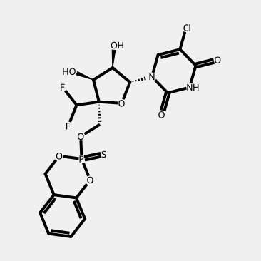 O=c1[nH]c(=O)n([C@@H]2O[C@@](COP3(=S)OCc4ccccc4O3)(C(F)F)[C@@H](O)[C@H]2O)cc1Cl